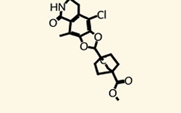 COC(=O)C12CCC(C3Oc4c(C)c5c(c(Cl)c4O3)CCNC5=O)(CC1)CC2